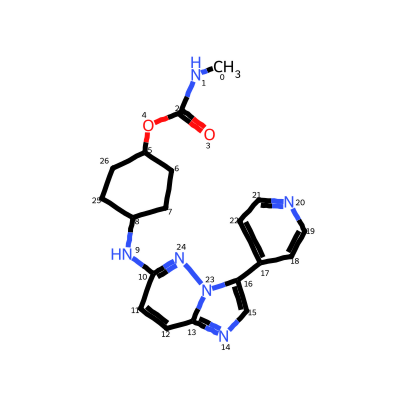 CNC(=O)OC1CCC(Nc2ccc3ncc(-c4ccncc4)n3n2)CC1